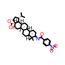 CC(C)[C@H]1CC[C@]2(C(=O)O)CC[C@]3(C)[C@H](CC[C@@H]4[C@@]5(C)CC/C(=N\C(=O)c6ccc([N+](=O)[O-])cc6)C(C)(C)[C@@H]5CC[C@]43C)[C@@H]12